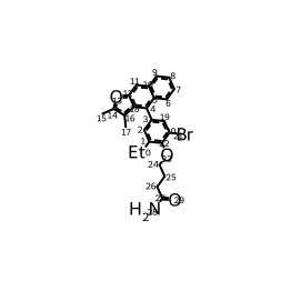 CCc1cc(-c2c3ccccc3cc3oc(C)c(C)c23)cc(Br)c1OCCCC(N)=O